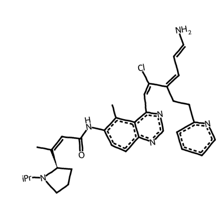 C/C(=C/C(=O)Nc1ccc2ncnc(\C=C(Cl)/C(=C\C=C\N)CCc3ccccn3)c2c1C)[C@H]1CCCN1C(C)C